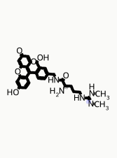 C/N=C(\NC)NCCC[C@H](N)C(=O)NCc1ccc(-c2c3ccc(=O)cc-3oc3cc(O)ccc23)c(C(=O)O)c1